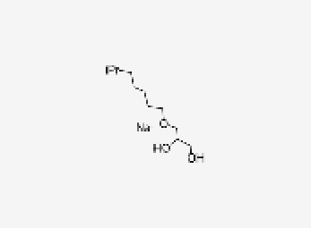 CC(C)CCCCCOCC(O)CO.[Na]